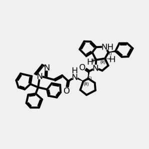 O=C(C=Cc1nccn1C(c1ccccc1)(c1ccccc1)c1ccccc1)N[C@@H]1CCCC[C@@H]1C(=O)N1CC[C@@H]2[C@H](c3ccccc3)Nc3ccccc3[C@@H]21